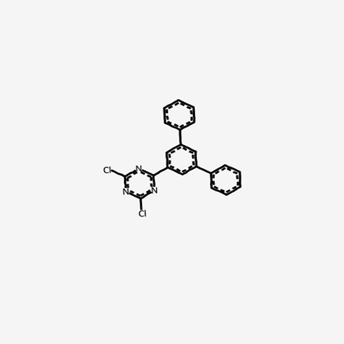 Clc1nc(Cl)nc(-c2cc(-c3ccccc3)cc(-c3ccccc3)c2)n1